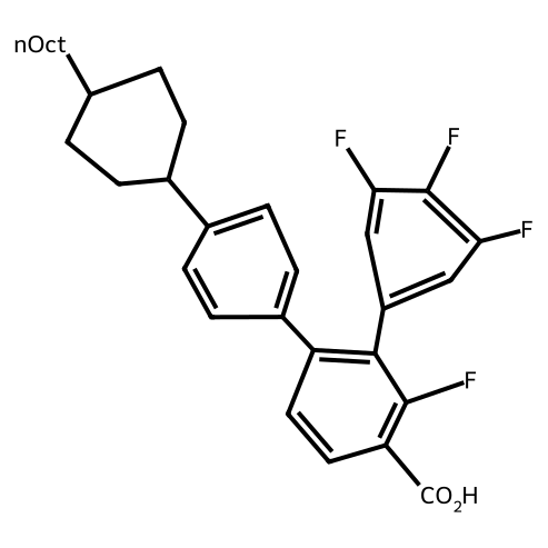 CCCCCCCCC1CCC(c2ccc(-c3ccc(C(=O)O)c(F)c3-c3cc(F)c(F)c(F)c3)cc2)CC1